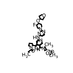 C=CC(=O)N1CCCC1c1nnc(N2C[C@H](CS(C)(=O)=O)[C@H]2C)c2cnc(Nc3ccnc(N4CC[C@@H](OC5CCOCC5)[C@@H](F)C4)n3)cc12